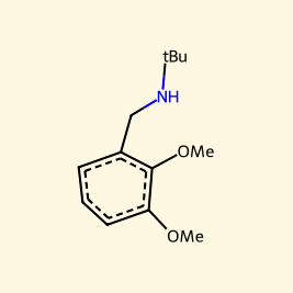 COc1cccc(CNC(C)(C)C)c1OC